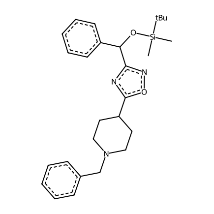 CC(C)(C)[Si](C)(C)OC(c1ccccc1)c1noc(C2CCN(Cc3ccccc3)CC2)n1